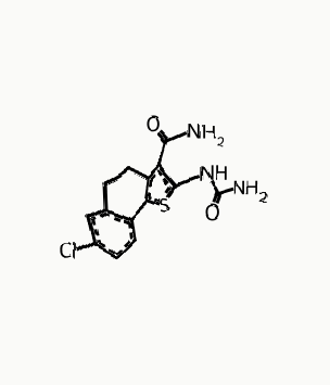 NC(=O)Nc1sc2c(c1C(N)=O)CCc1cc(Cl)ccc1-2